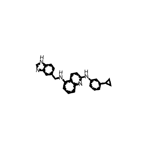 c1cc(Nc2ccc3c(NCc4ccc5[nH]cnc5c4)cccc3n2)cc(C2CC2)c1